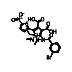 C=N[SH]1(CC)(CC)C(NC(=O)c2cccc(Br)c2)=C(C(=O)O)C(C(=O)O)=C1c1ccc([N+](=O)[O-])s1